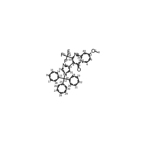 COc1ccn2c(=O)c(-c3cn(C(c4ccccc4)(c4ccccc4)c4ccccc4)cn3)c(C(F)(F)F)nc2c1